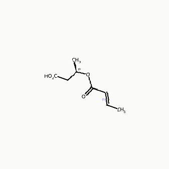 C/C=C/C(=O)O[C@H](C)CC(=O)O